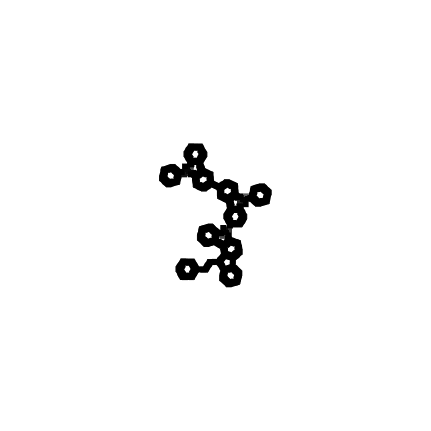 c1ccc(CCC2c3ccccc3-c3ccc4c(c32)c2ccccc2n4-c2ccc3c(c2)c2cc(-c4ccc5c(c4)c4ccccc4n5-c4ccccc4)ccc2n3-c2ccccc2)cc1